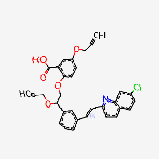 C#CCOc1ccc(OCC(OCC#C)c2cccc(/C=C/c3ccc4ccc(Cl)cc4n3)c2)c(C(=O)O)c1